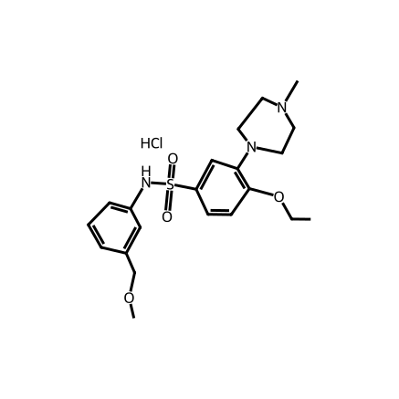 CCOc1ccc(S(=O)(=O)Nc2cccc(COC)c2)cc1N1CCN(C)CC1.Cl